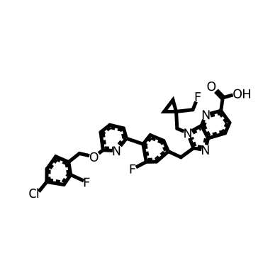 O=C(O)c1ccc2nc(Cc3ccc(-c4cccc(OCc5ccc(Cl)cc5F)n4)c(F)c3)n(CC3(CF)CC3)c2n1